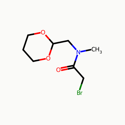 CN(CC1OCCCO1)C(=O)CBr